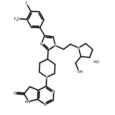 Cl.O=C1Cc2c(ncnc2N2CCC(c3nc(-c4ccc(F)c(C(F)(F)F)c4)cn3CCN3CCCC3CO)CC2)N1